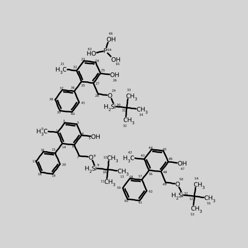 Cc1ccc(O)c(CO[SiH2]C(C)(C)C)c1-c1ccccc1.Cc1ccc(O)c(CO[SiH2]C(C)(C)C)c1-c1ccccc1.Cc1ccc(O)c(CO[SiH2]C(C)(C)C)c1-c1ccccc1.OP(O)O